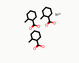 CC1CCCCC1C(=O)[O-].CC1CCCCC1C(=O)[O-].CC1CCCCC1C(=O)[O-].[In+3]